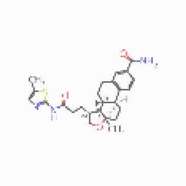 Cc1cnc(NC(=O)CC[C@@H]2CO[C@@]3(C)CC[C@@H]4c5ccc(C(N)=O)cc5CC[C@H]4[C@H]23)s1